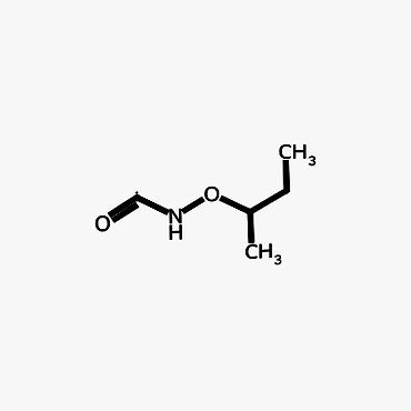 CCC(C)ON[C]=O